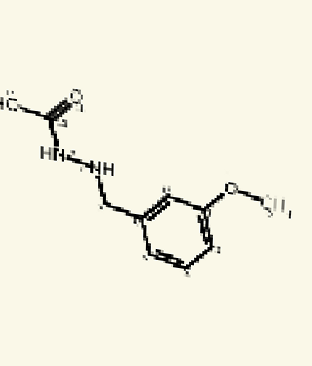 COc1cccc(CNNC(=O)O)c1